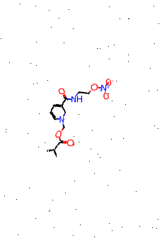 CC(C)C(=O)OCN1C=CC=C(C(=O)NCCO[N+](=O)[O-])C1